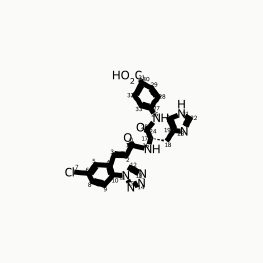 O=C(/C=C/c1cc(Cl)ccc1-n1cnnn1)N[C@@H](Cc1c[nH]cn1)C(=O)Nc1ccc(C(=O)O)cc1